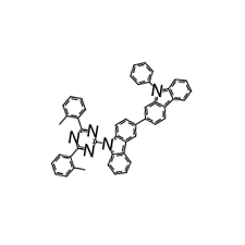 Cc1ccccc1-c1nc(-c2ccccc2C)nc(-n2c3ccccc3c3cc(-c4ccc5c6ccccc6n(-c6ccccc6)c5c4)ccc32)n1